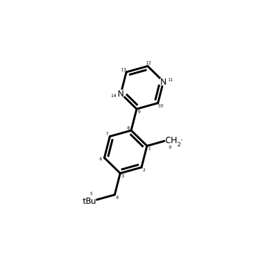 [CH2]c1cc(CC(C)(C)C)ccc1-c1cnccn1